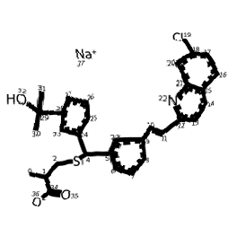 CC(CSC(c1cccc(C=Cc2ccc3ccc(Cl)cc3n2)c1)c1cccc(C(C)(C)O)c1)C(=O)[O-].[Na+]